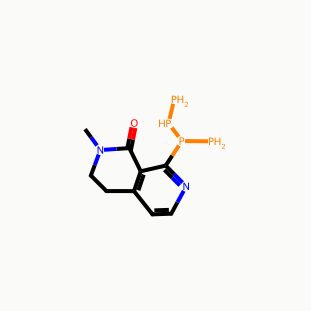 CN1CCc2ccnc(P(P)PP)c2C1=O